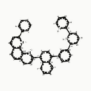 c1ccc(-c2ccc3ccc4ccc(-c5ccc(-c6cccc(-c7cccc(-c8ccccn8)n7)c6)c6ccccc56)nc4c3n2)cc1